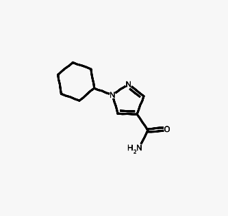 NC(=O)c1cnn(C2CCCCC2)c1